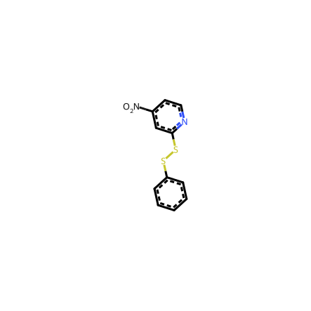 O=[N+]([O-])c1ccnc(SSc2ccccc2)c1